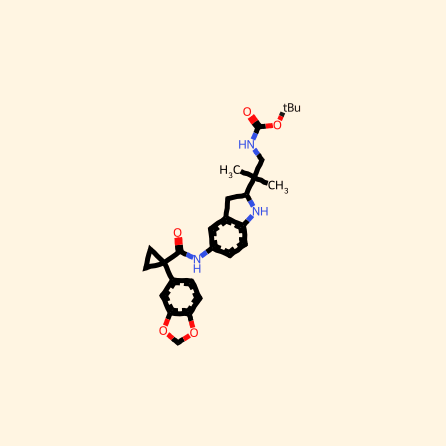 CC(C)(C)OC(=O)NCC(C)(C)C1Cc2cc(NC(=O)C3(c4ccc5c(c4)OCO5)CC3)ccc2N1